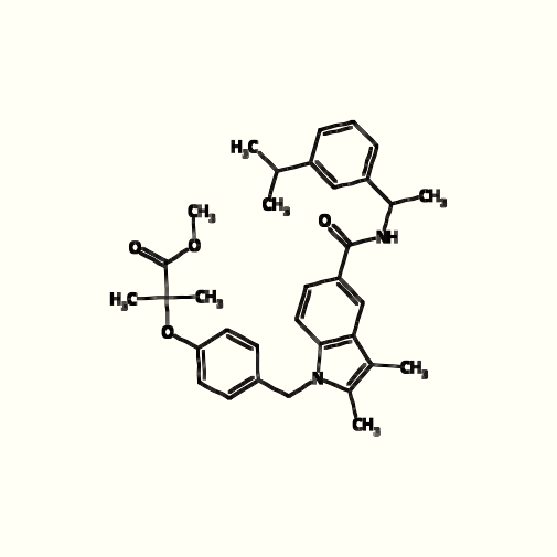 COC(=O)C(C)(C)Oc1ccc(Cn2c(C)c(C)c3cc(C(=O)NC(C)c4cccc(C(C)C)c4)ccc32)cc1